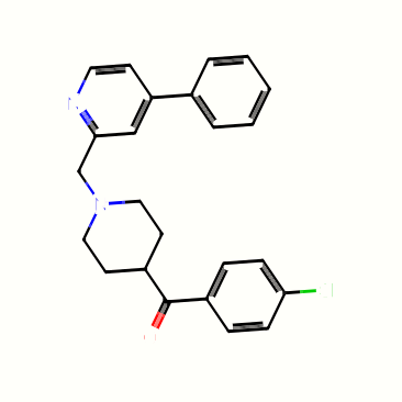 O=C(c1ccc(Cl)cc1)C1CCN(Cc2cc(-c3ccccc3)ccn2)CC1